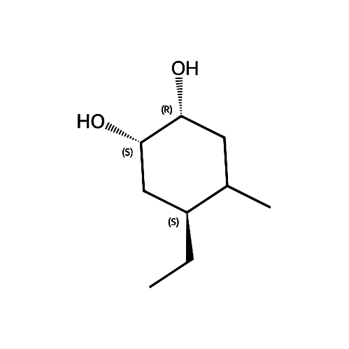 CC[C@H]1C[C@H](O)[C@H](O)CC1C